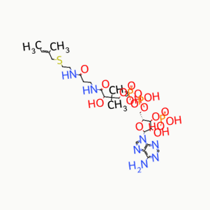 C/C=C(\C)CSCCNC(=O)CCNC(=O)C(O)C(C)(C)COP(=O)(O)OP(=O)(O)OC[C@H]1O[C@@H](n2cnc3c(N)ncnc32)[C@H](O)[C@@H]1OP(=O)(O)O